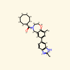 Cc1nc2ccc(-c3cc(C)c4c(c3)CN(C(=O)C3CCCCCCC3)CCO4)cc2[nH]1